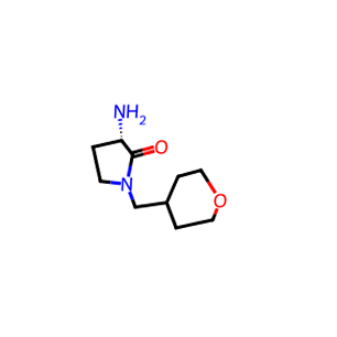 N[C@H]1CCN(CC2CCOCC2)C1=O